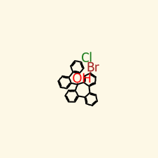 OC1(c2ccccc2-c2ccc(Cl)cc2)c2ccccc2-c2ccccc2-c2ccc(Br)cc21